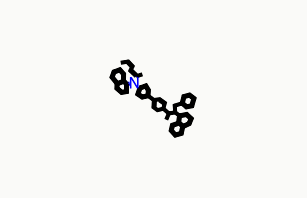 C/C=C\C=C(/C)N(c1ccc(C2=CCC(C(C)C(Cc3ccccc3)c3cccc4ccccc34)C=C2)cc1)c1cccc2ccccc12